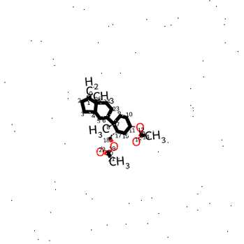 C=C1CCC2CC([C@@]3(C)CC[C@H](OC(C)=O)C[C@@H]3COC(C)=O)CC[C@]12C